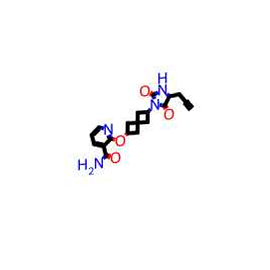 C#CCC1NC(=O)N(C2CC3(CC(Oc4ncccc4C(N)=O)C3)C2)C1=O